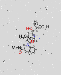 CNC(=O)[C@@H]1Cc2ccccc2N(C(=O)CC(C)(C)C[C@H](N)[C@@H](O)C[C@@H](C)C(=O)O)C1